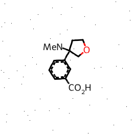 CNC1(c2cccc(C(=O)O)c2)CCOC1